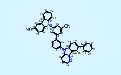 N#Cc1cc(-c2cccc(-n3c4cccnc4c4c5sc6ccccc6c5ccc43)c2)cc(-n2c3ccccc3c3cc(C#N)ccc32)c1